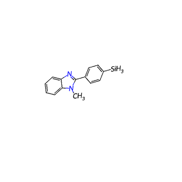 Cn1c(-c2ccc([SiH3])cc2)nc2ccccc21